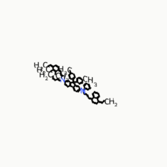 C=C/C=C\C=C\N(/C=C/C=c1/cc/c(=C/C=C)c(C=C)c1C=C)c1ccc2c(c1)C(C1=CCC(C)C=C1)(c1ccc(C)cc1)c1cc(N(/C=C/C=c3/cc/c(=C/C=C)c4ccccc34)c3ccccc3)ccc1-2